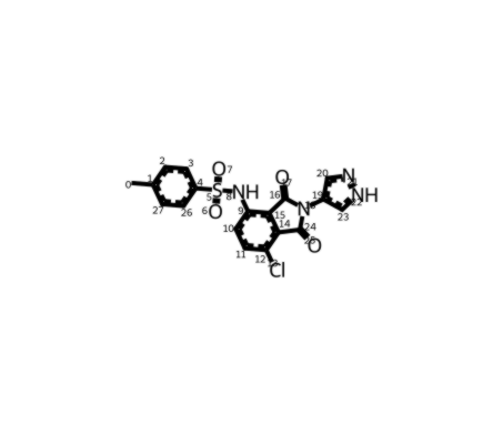 Cc1ccc(S(=O)(=O)Nc2ccc(Cl)c3c2C(=O)N(c2cn[nH]c2)C3=O)cc1